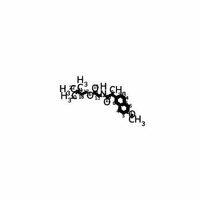 COc1ccc2cc(C(C)C(=O)NCC(=O)OCCC(C)(C)C)ccc2c1